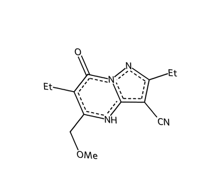 CCc1nn2c(=O)c(CC)c(COC)[nH]c2c1C#N